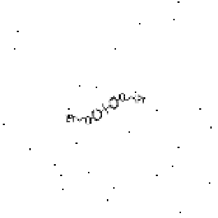 CC(C)CCOc1ccc(C(C)(C)c2ccc(OCCC(C)C)cc2)cc1